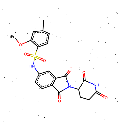 Cc1ccc(S(=O)(=O)Nc2ccc3c(c2)C(=O)N(C2CCC(=O)NC2=O)C3=O)c(OC(C)C)c1